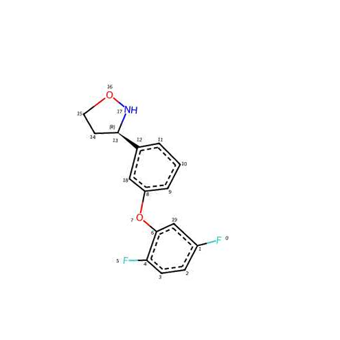 Fc1ccc(F)c(Oc2cccc([C@H]3CCON3)c2)c1